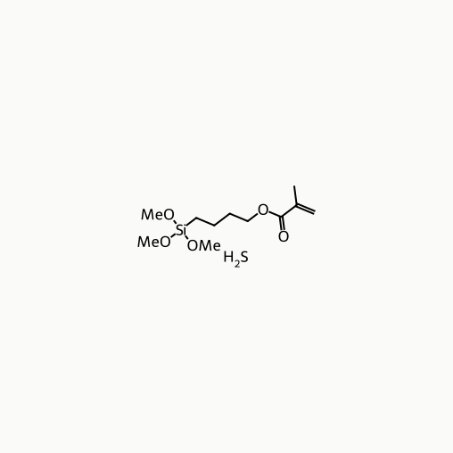 C=C(C)C(=O)OCCCC[Si](OC)(OC)OC.S